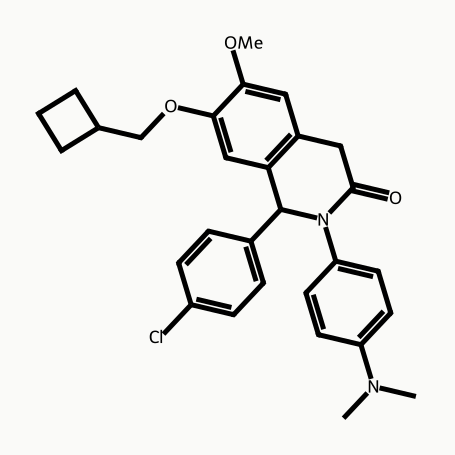 COc1cc2c(cc1OCC1CCC1)C(c1ccc(Cl)cc1)N(c1ccc(N(C)C)cc1)C(=O)C2